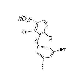 CC(C)c1cc(F)cc(Oc2c(Cl)ccc(C(=O)O)c2Cl)c1